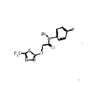 CC(C)N(C(=O)COc1nnc(C(F)(F)F)s1)c1ccc(F)cc1